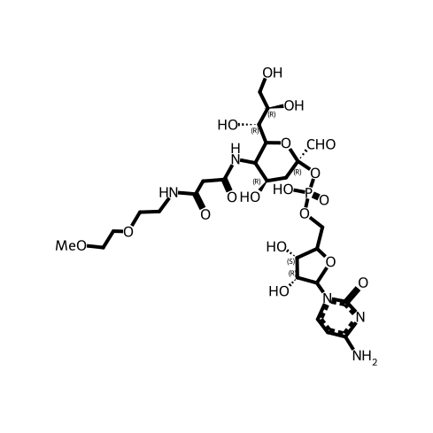 COCCOCCNC(=O)CC(=O)NC1C([C@H](O)[C@H](O)CO)O[C@@](C=O)(OP(=O)(O)OCC2OC(n3ccc(N)nc3=O)[C@H](O)[C@@H]2O)C[C@H]1O